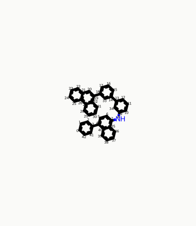 c1ccc(-c2ccc(Nc3cccc(-c4cccc(-c5cc6ccccc6c6ccccc56)c4)c3)c3ccccc23)cc1